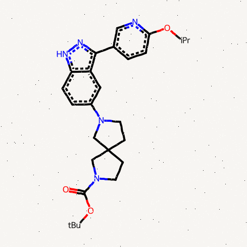 CC(C)Oc1ccc(-c2n[nH]c3ccc(N4CCC5(CCN(C(=O)OC(C)(C)C)C5)C4)cc23)cn1